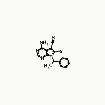 CC(c1ccccc1)n1c(Br)c(C#N)c2c(N)ncnc21